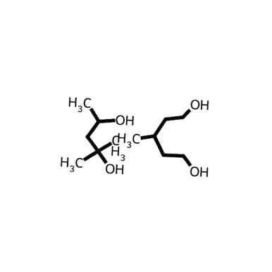 CC(CCO)CCO.CC(O)CC(C)(C)O